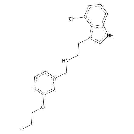 CCCOc1cccc(CNCCc2c[nH]c3cccc(Cl)c23)c1